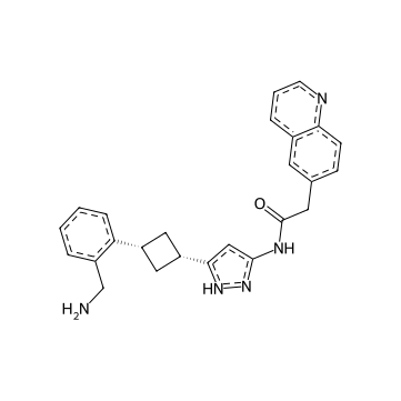 NCc1ccccc1[C@H]1C[C@@H](c2cc(NC(=O)Cc3ccc4ncccc4c3)n[nH]2)C1